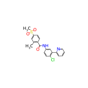 Cc1cc(S(C)(=O)=O)ccc1C(=O)Nc1ccc(Cl)c(-c2ccccn2)c1